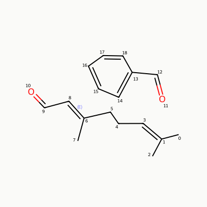 CC(C)=CCC/C(C)=C/C=O.O=Cc1ccccc1